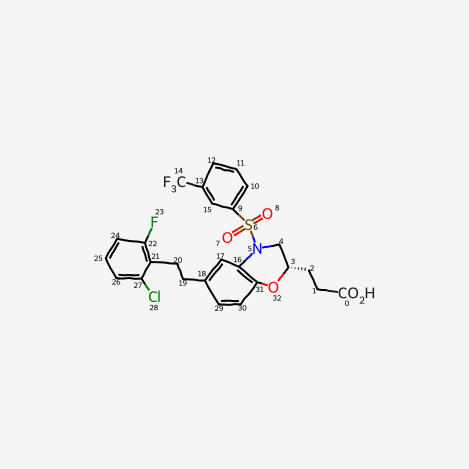 O=C(O)CC[C@H]1CN(S(=O)(=O)c2cccc(C(F)(F)F)c2)c2cc(CCc3c(F)cccc3Cl)ccc2O1